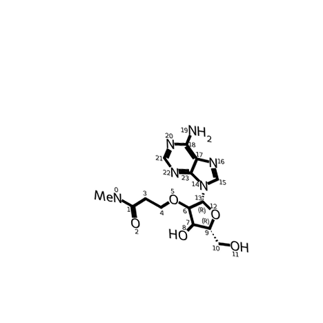 CNC(=O)CCOC1C(O)[C@@H](CO)O[C@H]1n1cnc2c(N)ncnc21